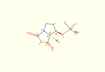 CC(C)(C)[Si](C)(C)O[C@@H]1CCN2C(=O)OC(=O)[C@H]12